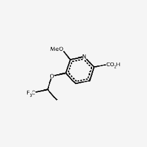 COc1nc(C(=O)O)ccc1OC(C)C(F)(F)F